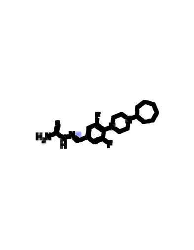 NC(=S)N/N=C/c1cc(F)c(N2CCN(C3CCCCCC3)CC2)c(F)c1